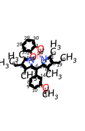 CCC1=C(C)/C(=C(\c2cccc(OC)c2)c2c(C)c(CC)c(C)n2B2Oc3ccccc3O2)N=C1C